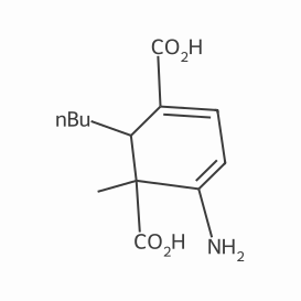 CCCCC1C(C(=O)O)=CC=C(N)C1(C)C(=O)O